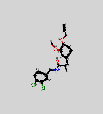 C#CCOc1ccc(CC(C)C(=O)NCc2ccc(Cl)c(Cl)c2)cc1OC